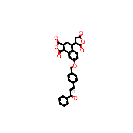 O=C1CC(C2CC3C(=O)OC(=O)C3c3cc(OCc4ccc(/C=C/C(=O)c5ccccc5)cc4)ccc32)C(=O)O1